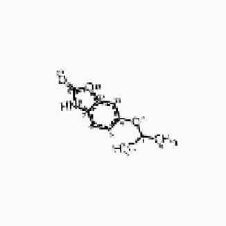 CC(C)Oc1ccc2[nH]c(=O)oc2c1